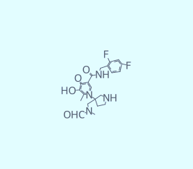 Cc1c(O)c(=O)c(C(=O)NCc2ccc(F)cc2F)cn1C1(CN(C)C=O)CCNC1